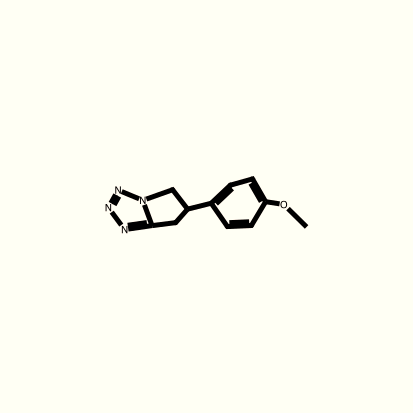 COc1ccc(C2Cc3nnnn3C2)cc1